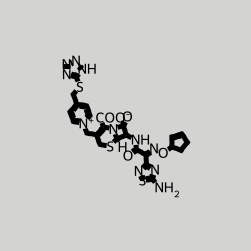 Nc1nc(C(=NOC2C=CCC2)C(=O)NC2C(=O)N3C(C(=O)[O-])=C(C[n+]4ccc(CSc5nnn[nH]5)cc4)CS[C@@H]23)ns1